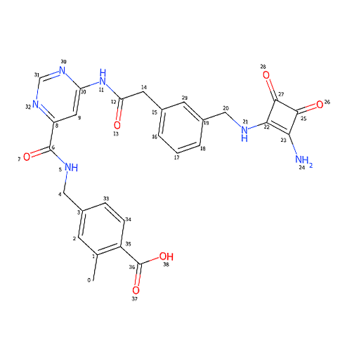 Cc1cc(CNC(=O)c2cc(NC(=O)Cc3cccc(CNc4c(N)c(=O)c4=O)c3)ncn2)ccc1C(=O)O